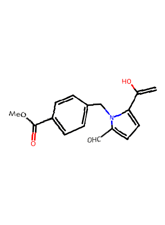 C=C(O)c1ccc(C=O)n1Cc1ccc(C(=O)OC)cc1